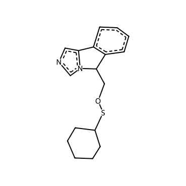 c1ccc2c(c1)-c1cncn1C2COSC1CCCCC1